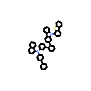 c1ccc(-c2ccc(N(c3cccc(-c4ccccc4-c4ccc5c6ccccc6n(-c6cccc7c6sc6ccccc67)c5c4)c3)c3cccc4ccccc34)cc2)cc1